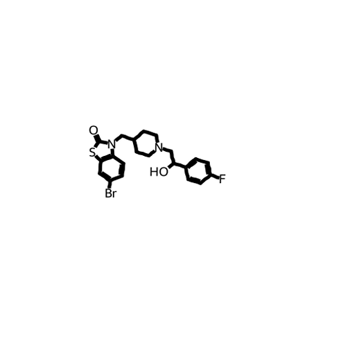 O=c1sc2cc(Br)ccc2n1CC1CCN(CC(O)c2ccc(F)cc2)CC1